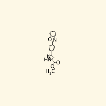 CCOC(=O)c1cc(-c2ccc(-c3nc4ccccc4o3)cc2)n[nH]1